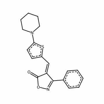 O=C1ON=C(c2ccccc2)C1=Cc1ccc(N2CCCCC2)s1